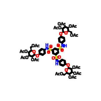 CC(=O)OC[C@H]1O[C@@H](Oc2ccc(NS(=O)(=O)c3cc(S(=O)(=O)Nc4ccc(O[C@@H]5O[C@H](COC(C)=O)[C@@H](OC(C)=O)[C@H](OC(C)=O)[C@H]5OC(C)=O)cc4)cc(S(=O)(=O)Nc4ccc(O[C@@H]5O[C@H](COC(C)=O)[C@@H](OC(C)=O)[C@H](OC(C)=O)[C@H]5OC(C)=O)cc4)c3)cc2)[C@H](OC(C)=O)[C@@H](OC(C)=O)[C@@H]1OC(C)=O